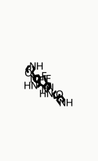 FC(F)(F)c1cnc(NC2COC3(CCNCC3)C2)nc1-c1c[nH]c2nc(C3CNCCO3)ccc12